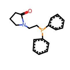 O=C1CCCN1CCP(c1ccccc1)c1ccccc1